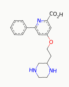 O=C(O)c1cc(OCCC2CNCCN2)cc(-c2ccccc2)n1